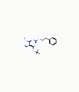 Cn1ncc2c(NC(C)(C)C(F)(F)F)nc(NC[C@H](N)c3ccccc3)nc21